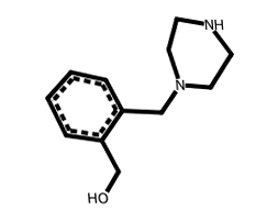 OCc1ccccc1CN1CCNCC1